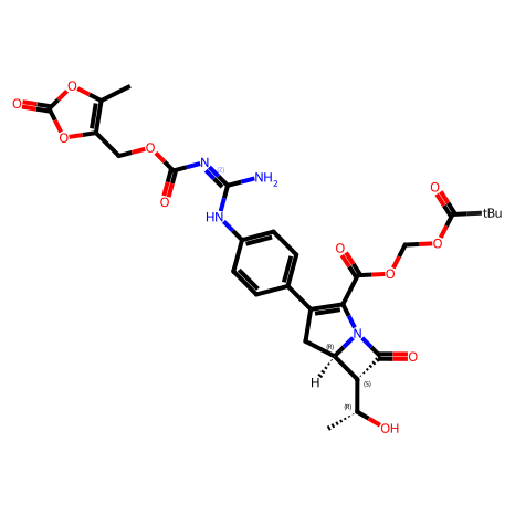 Cc1oc(=O)oc1COC(=O)/N=C(/N)Nc1ccc(C2=C(C(=O)OCOC(=O)C(C)(C)C)N3C(=O)[C@H]([C@@H](C)O)[C@H]3C2)cc1